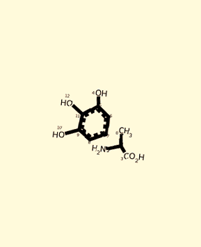 CC(N)C(=O)O.Oc1cccc(O)c1O